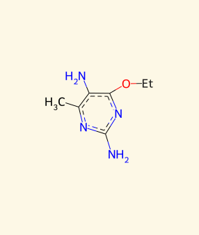 CCOc1nc(N)nc(C)c1N